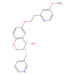 COc1ccnc(CCOc2ccc3c(c2)[C@H](O)[C@H](Cc2cccnc2)CO3)c1